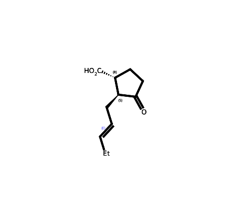 CC/C=C/C[C@@H]1C(=O)CC[C@H]1C(=O)O